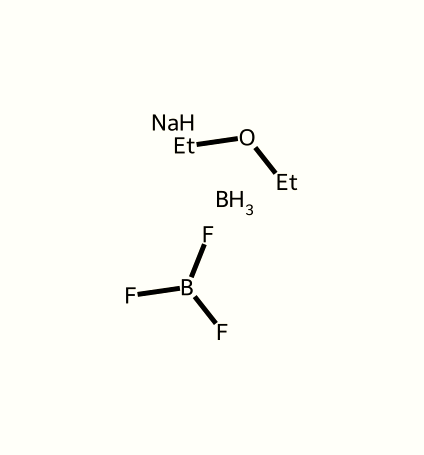 B.CCOCC.FB(F)F.[NaH]